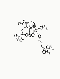 C[C@H]1C(OCCCN(C)C)O[C@@H]2OC(C)(O)CCC3[C@H](C)CCC1[C@]32O